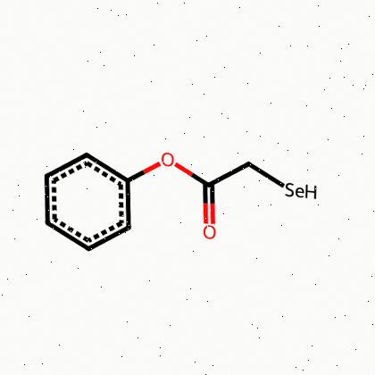 O=C(C[SeH])Oc1ccccc1